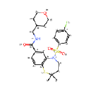 CC1(C)CCN(S(=O)(=O)c2ccc(F)cc2)c2cc(C(=O)NCC3CCOCC3)ccc2S1